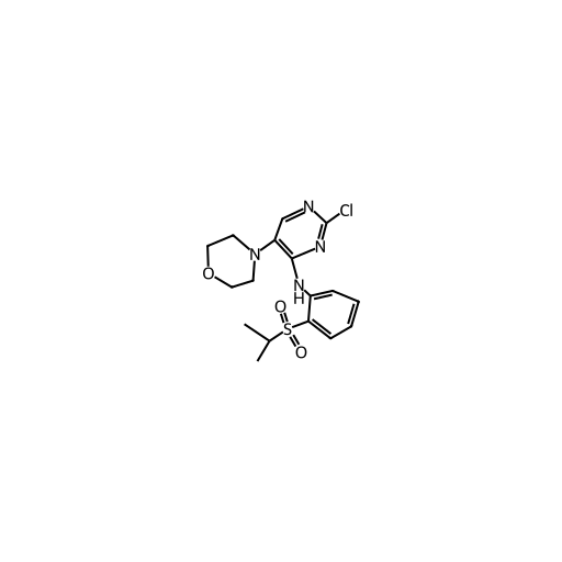 CC(C)S(=O)(=O)c1ccccc1Nc1nc(Cl)ncc1N1CCOCC1